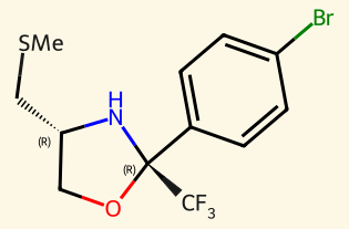 CSC[C@H]1CO[C@](c2ccc(Br)cc2)(C(F)(F)F)N1